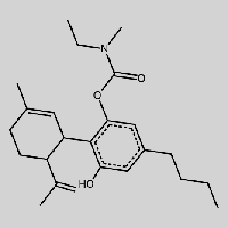 C=C(C)C1CCC(C)=CC1c1c(O)cc(CCCC)cc1OC(=O)N(C)CC